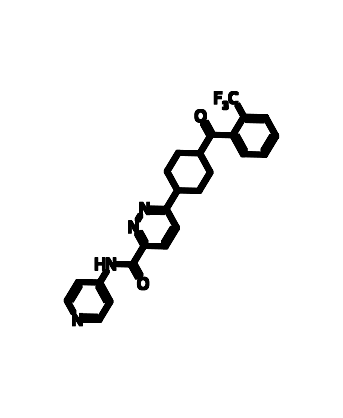 O=C(Nc1ccncc1)c1ccc(C2CCC(C(=O)c3ccccc3C(F)(F)F)CC2)nn1